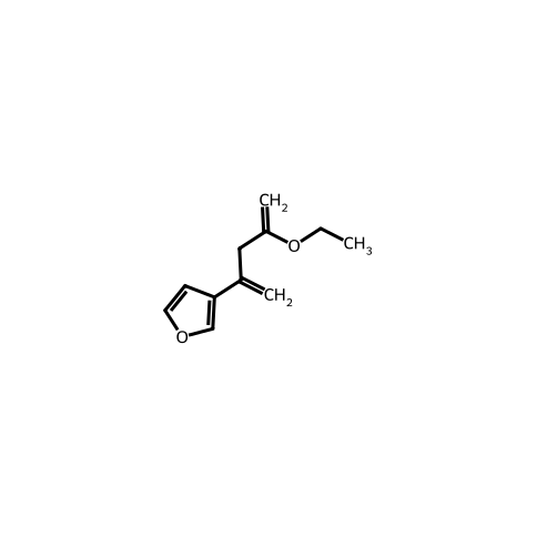 C=C(CC(=C)c1ccoc1)OCC